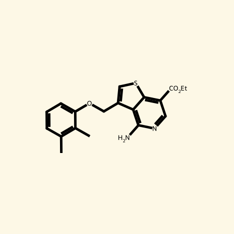 CCOC(=O)c1cnc(N)c2c(COc3cccc(C)c3C)csc12